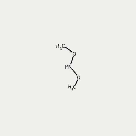 CONOC